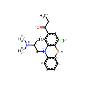 CCC(=O)c1ccc2c(c1)N(CC(C)N(C)C)c1ccccc1S2.Cl